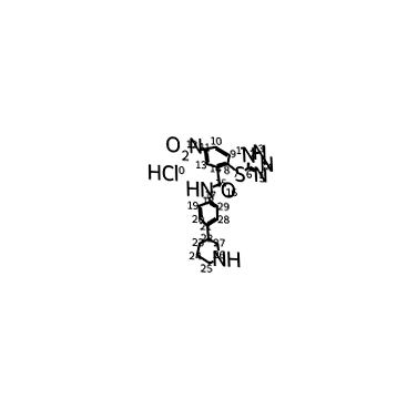 Cl.Cn1nnnc1Sc1ccc([N+](=O)[O-])cc1C(=O)Nc1ccc(C2CCCNC2)cc1